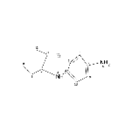 CCC(Nc1ccc(N)cc1)C(C)C